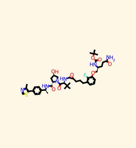 Cc1ncsc1-c1ccc([C@H](C)NC(=O)[C@@H]2C[C@@H](O)CN2C(=O)[C@@H](NC2OC2CCCc2cccc(OC[C@H](CCC(N)=O)NC(=O)OC(C)(C)C)c2F)C(C)(C)C)cc1